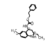 CC[C@@H]1C[C@H](NC(=O)OCCc2ccccc2)c2cc(OC)ccc2N1